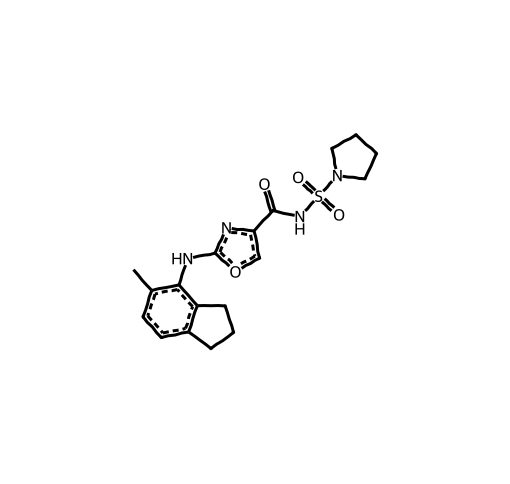 Cc1ccc2c(c1Nc1nc(C(=O)NS(=O)(=O)N3CCCC3)co1)CCC2